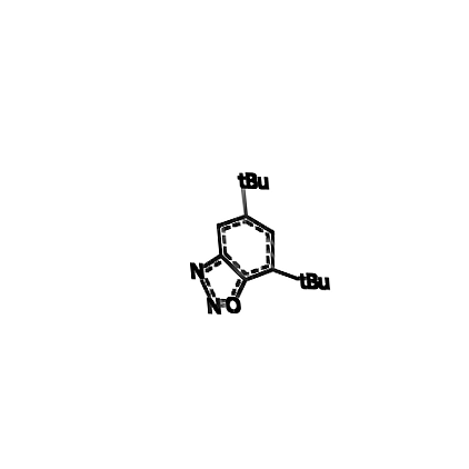 CC(C)(C)c1cc(C(C)(C)C)c2onnc2c1